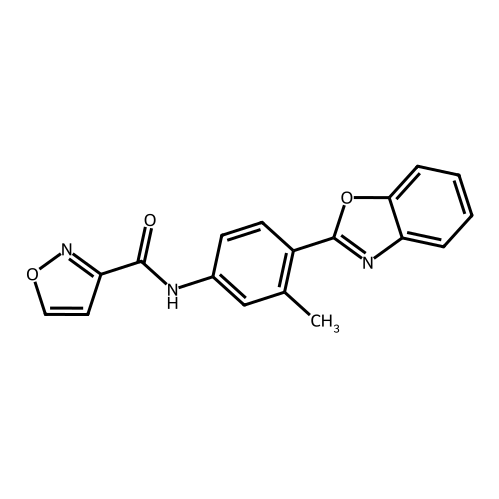 Cc1cc(NC(=O)c2ccon2)ccc1-c1nc2ccccc2o1